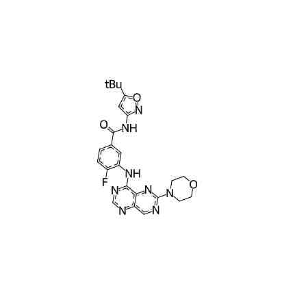 CC(C)(C)c1cc(NC(=O)c2ccc(F)c(Nc3ncnc4cnc(N5CCOCC5)nc34)c2)no1